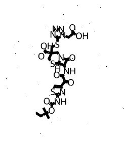 CCC(C)(C)OC(=O)Nc1nc(C(=O)C(=O)NC2C(=O)N3CC(CSc4nnnn4CC(=O)O)(C(=O)O)CS[C@H]23)cs1